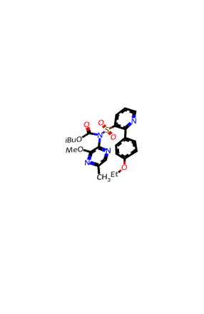 CCOc1ccc(-c2ncccc2S(=O)(=O)N(C(=O)OCC(C)C)c2ncc(C)nc2OC)cc1